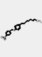 CCCCCCCCc1ccc(N=Cc2ccc([N+](=O)[O-])cc2)cc1